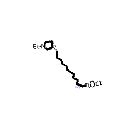 CCCCCCCC/C=C\CCCCCCCCC[C@H]1CCN(CC)C1